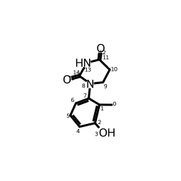 Cc1c(O)cccc1N1CCC(=O)NC1=O